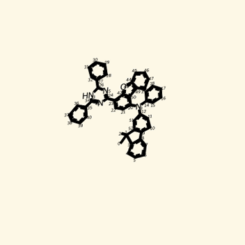 CC1(C)c2ccccc2-c2ccc(N(c3ccccc3)c3ccc(C4=NC(c5ccccc5)NC(c5ccccc5)=N4)c4oc5ccccc5c34)cc21